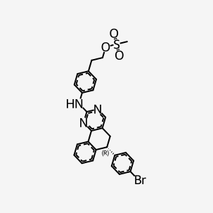 CS(=O)(=O)OCCc1ccc(Nc2ncc3c(n2)-c2ccccc2[C@@H](c2ccc(Br)cc2)C3)cc1